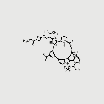 C=CC(=O)N1CC(OCC(C(=O)N[C@H]2Cc3cc(cc(C(F)F)c3)-c3ccc4c(c3)c(c(-c3cccnc3C(C)C)n4CC(F)(F)F)CC(C)(C)COC(=O)[C@@H]3CCCN(N3)C2=O)C(C)C)C1